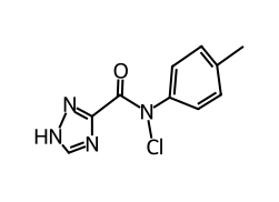 Cc1ccc(N(Cl)C(=O)c2nc[nH]n2)cc1